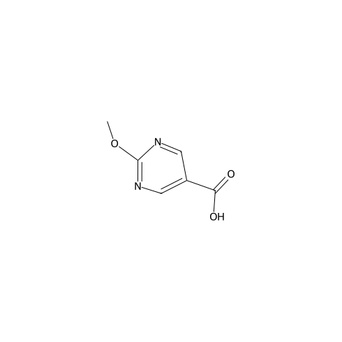 COc1ncc(C(=O)O)cn1